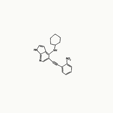 O=[N+]([O-])c1ccccc1C#Cc1cnc2[nH]ccc2c1NC1CCCCC1